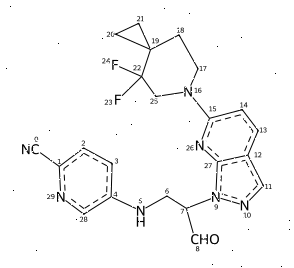 N#Cc1ccc(NCC(C=O)n2ncc3ccc(N4CCC5(CC5)C(F)(F)C4)nc32)cn1